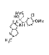 COc1ccc(C(Nc2cccc3nc(C)ccc23)C(O)(CSC)C(F)(F)F)cc1Cl